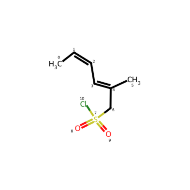 C/C=C\C=C(/C)CS(=O)(=O)Cl